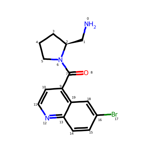 NC[C@@H]1CCCN1C(=O)c1ccnc2ccc(Br)cc12